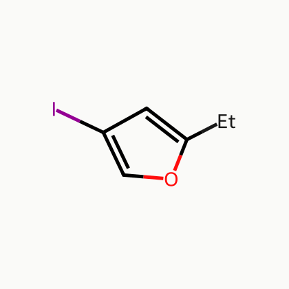 CCc1cc(I)co1